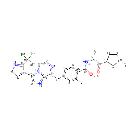 Cc1cc(Cc2nccn3c(C4=CCN=C4C(F)(F)F)cnc23)ccc1C(=O)N[C@H](C)C(=O)C1CC[C@H](C)C1